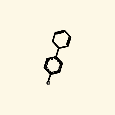 Clc1ccc(C2C=CC=CC2)cc1